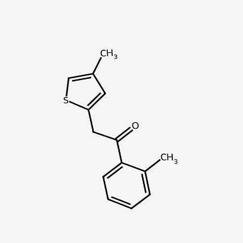 Cc1csc(CC(=O)c2ccccc2C)c1